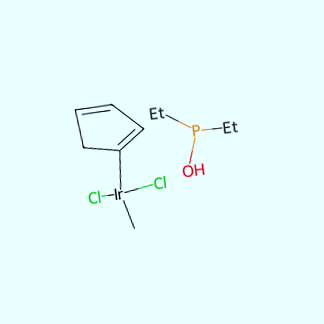 CCP(O)CC.[CH3][Ir]([Cl])([Cl])[C]1=CC=CC1